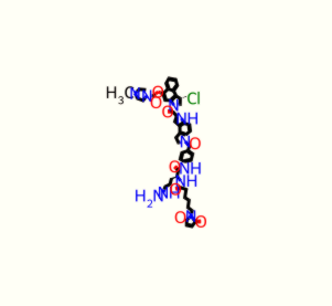 CN1CCN(C(=O)Oc2cc3c(c4ccccc24)[C@H](CCl)CN3C(=O)c2cc3c4c(ccc3[nH]2)N(C(=O)c2ccc(NC(=O)[C@H](CCCNN)NC(=O)CCCCCN3C(=O)C=CC3=O)cc2)CC4)CC1